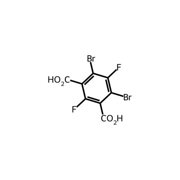 O=C(O)c1c(F)c(C(=O)O)c(Br)c(F)c1Br